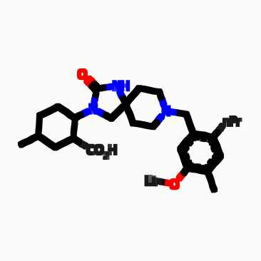 CCCc1cc(C)c(OCC)cc1CN1CCC2(CC1)CN(C1CCC(C)CC1C(=O)O)C(=O)N2